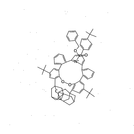 CC(C)(C)c1ccc(-c2cc3[n+](C(=O)OCc4ccccc4)c(c2)-c2ccccc2-c2cc(C(C)(C)C)cc(C45CC6CC(C4)C(C6)C5)c2OOc2c(cc(C(C)(C)C)cc2C24CC5CC(CC(C5)C2)C4)-c2ccccc2-3)cc1